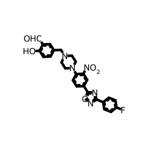 O=Cc1cc(CN2CCN(c3ccc(-c4nc(-c5ccc(F)cc5)no4)cc3[N+](=O)[O-])CC2)ccc1O